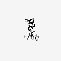 CC(C)(C)OC(=O)N1CCC(Oc2c(Cl)cncc2Cl)CC1